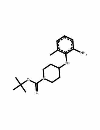 Cc1cccc(N)c1NC1CCN(C(=O)OC(C)(C)C)CC1